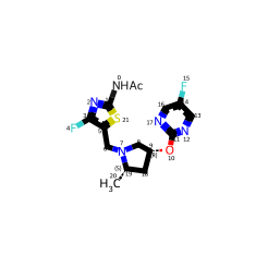 CC(=O)Nc1nc(F)c(CN2C[C@H](Oc3ncc(F)cn3)C[C@@H]2C)s1